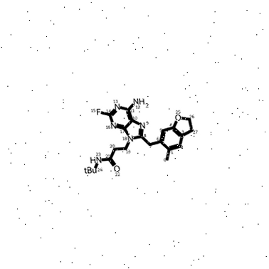 Cc1cc2c(cc1Cc1nc3c(N)nc(F)nc3n1CCC(=O)NC(C)(C)C)OCC2